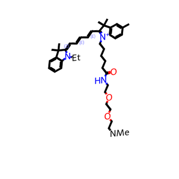 CCN1\C(=C/C=C/C=C/C2=[N+](CCCCCC(=O)NCCOCCOCCNC)c3ccc(C)cc3C2(C)C)C(C)(C)c2ccccc21